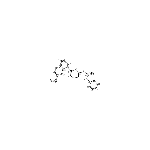 COc1ccc2ncnc(N3CCCC(CN(Sc4ccccc4)C(C)C)C3)c2c1